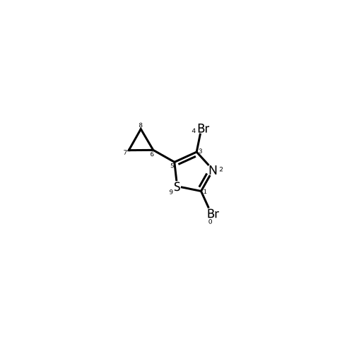 Brc1nc(Br)c(C2CC2)s1